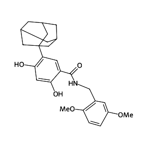 COc1ccc(OC)c(CNC(=O)c2cc(C34CC5CC(CC(C5)C3)C4)c(O)cc2O)c1